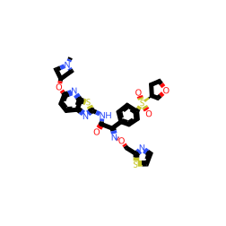 CN1CC(Oc2ccc3nc(NC(=O)/C(=N/OCc4nccs4)c4ccc(S(=O)(=O)[C@H]5CCOC5)cc4)sc3n2)C1